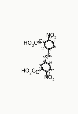 O=C(O)Oc1cc(SSc2ccc([N+](=O)[O-])c(OC(=O)O)c2)ccc1[N+](=O)[O-]